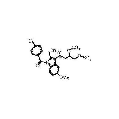 COc1ccc2c(c1)c([C@H](CC(CO[N+](=O)[O-])O[N+](=O)[O-])C(=O)O)c(C)n2C(=O)c1ccc(Cl)cc1